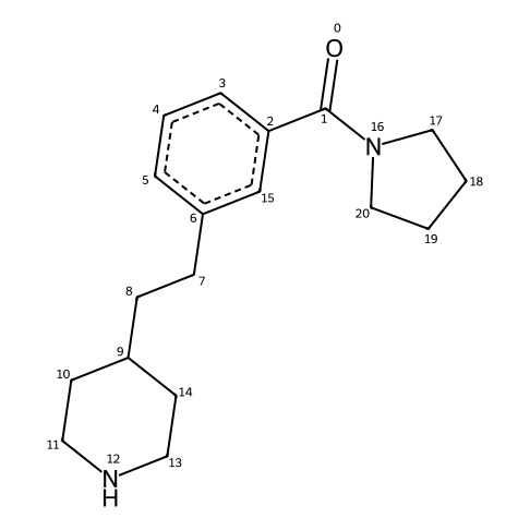 O=C(c1cccc(CCC2CCNCC2)c1)N1CCCC1